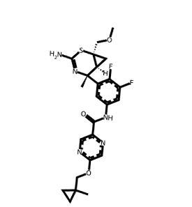 COC[C@]12C[C@H]1[C@](C)(c1cc(NC(=O)c3cnc(OCC4(C)CC4)cn3)cc(F)c1F)N=C(N)S2